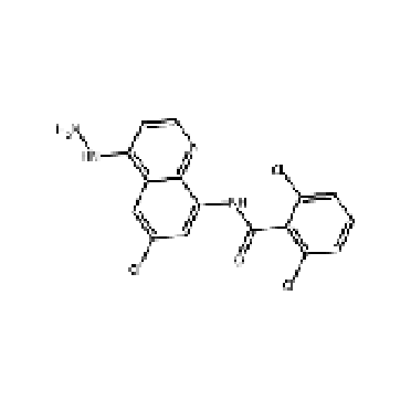 NNc1ccnc2c(NC(=O)c3c(Cl)cccc3Cl)cc(Cl)cc12